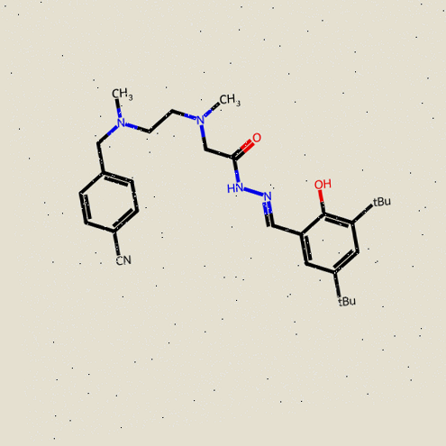 CN(CCN(C)Cc1ccc(C#N)cc1)CC(=O)N/N=C/c1cc(C(C)(C)C)cc(C(C)(C)C)c1O